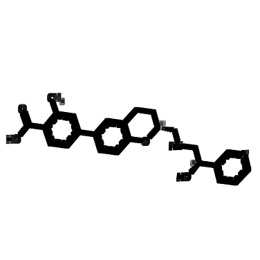 Cc1cc(-c2ccc3c(c2)CC[C@H](CNC[C@H](O)c2cccnc2)O3)ccc1C(=O)O